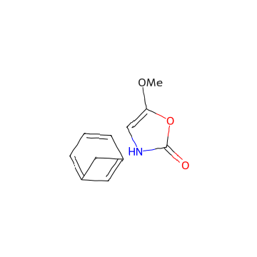 COc1c[nH]c(=O)o1.c1cc2cc(c1)C2